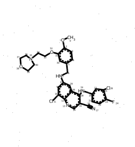 COc1ccc(CNc2cc(Cl)c3ncc(C#N)c(Nc4ccc(F)c(Cl)c4)c3c2)cc1OCCN1CCOCC1